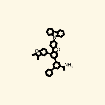 C=C(N)c1cc(-c2ccccc2)cc(-c2cc(-c3ccc4oc(=C)c(=C)c4c3)c3c(c2)oc2cc(-n4c5ccccc5c5ccccc54)ccc23)c1